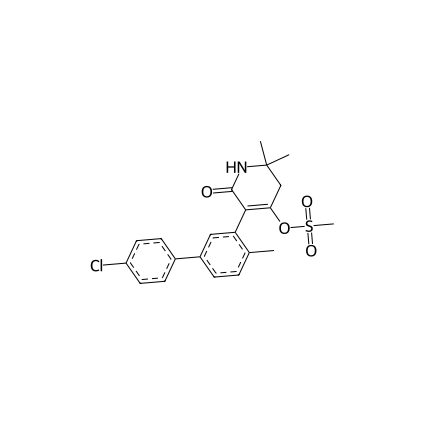 Cc1ccc(-c2ccc(Cl)cc2)cc1C1=C(OS(C)(=O)=O)CC(C)(C)NC1=O